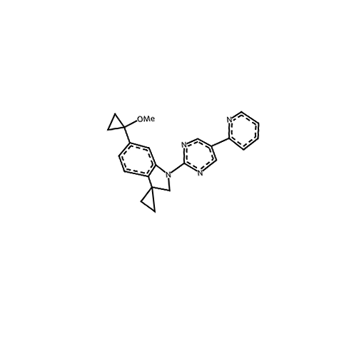 COC1(c2ccc3c(c2)N(c2ncc(-c4ccccn4)cn2)CC32CC2)CC1